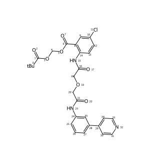 CC(C)(C)C(=O)OCOC(=O)c1cc(Cl)ccc1NC(=O)COCC(=O)Nc1cccc(-c2ccncc2)c1